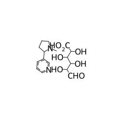 CN1CCCC1c1cccnc1.O=CC(O)C(O)C(O)C(O)C(=O)O